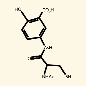 CC(=O)NC(CS)C(=O)[AsH]c1ccc(O)c(C(=O)O)c1